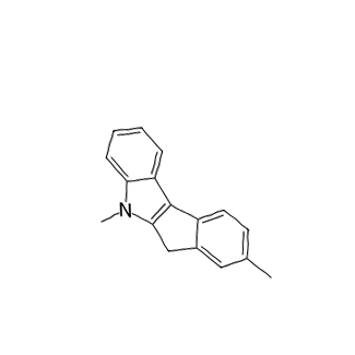 Cc1ccc2c(c1)Cc1c-2c2ccccc2n1C